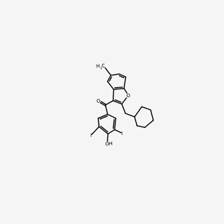 Cc1ccc2oc(CC3CCCCC3)c(C(=O)c3cc(I)c(O)c(I)c3)c2c1